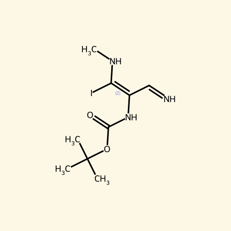 CN/C(I)=C(\C=N)NC(=O)OC(C)(C)C